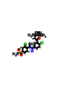 C=C(Nc1ccc(Cl)c(B2CC(C)(C)C(C)(C)O2)c1)c1ccc(S(C)(=O)=O)cc1Cl